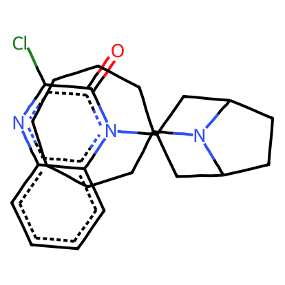 O=c1c(Cl)nc2ccccc2n1C1CC2CCC(C1)N2C1CCCCCCC1